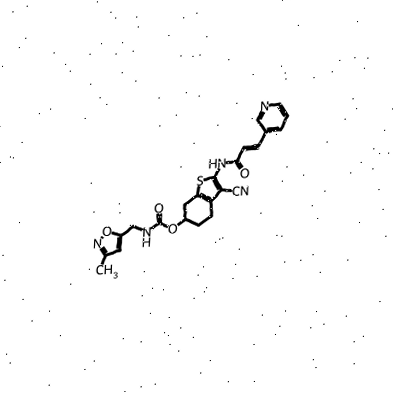 Cc1cc(CNC(=O)OC2CCc3c(sc(NC(=O)C=Cc4cccnc4)c3C#N)C2)on1